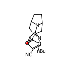 CCCCOC(=O)N1CC2CCC(C1)N2c1ccc(C#N)cn1